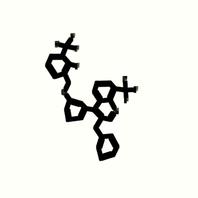 Fc1c(COc2cccc(-c3c(Cc4ccccc4)cnc4c(C(F)(F)F)cccc34)c2)cccc1C(F)(F)F